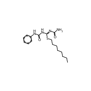 CCCCCCCCSC(=NC(N)=O)NC(=O)Nc1ccccc1